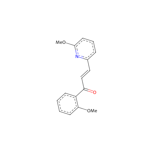 COc1cccc(C=CC(=O)c2ccccc2OC)n1